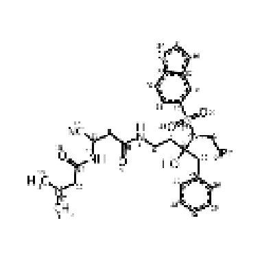 CC(C)CN(C(O)(CCNC(=O)CC(C#N)NC(=O)CN(C)C)Cc1ccccc1)S(=O)(=O)c1ccc2occc2c1